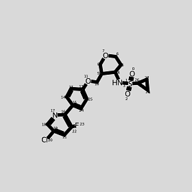 O=S(=O)(NC1CCOCC1COc1ccc(-c2ncc(Cl)cc2F)cc1)C1CC1